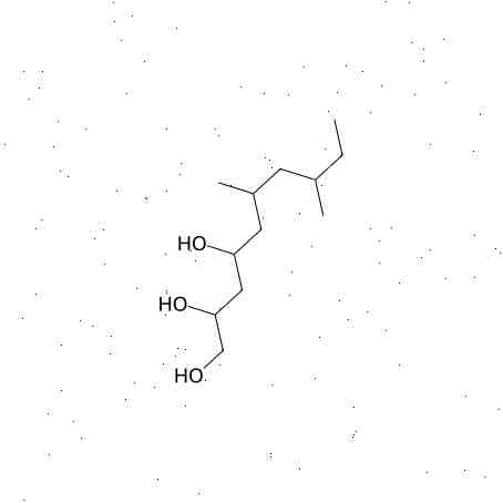 CCC(C)CC(C)CC(O)CC(O)CO